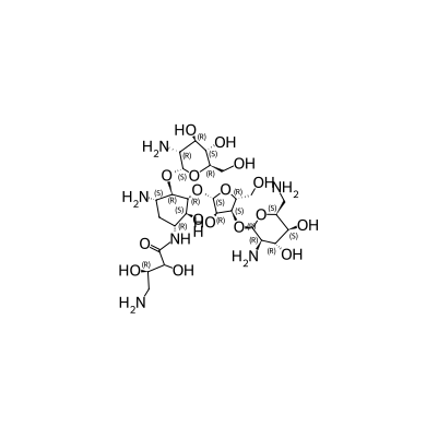 NC[C@@H](O)C(O)C(=O)N[C@@H]1C[C@H](N)[C@@H](O[C@H]2O[C@H](CO)[C@@H](O)[C@H](O)[C@H]2N)[C@H](O[C@@H]2O[C@H](CO)[C@@H](O[C@H]3O[C@@H](CN)[C@@H](O)[C@H](O)[C@H]3N)[C@H]2O)[C@H]1O